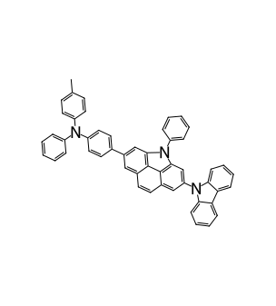 Cc1ccc(N(c2ccccc2)c2ccc(-c3cc4ccc5cc(-n6c7ccccc7c7ccccc76)cc6c5c4c(c3)n6-c3ccccc3)cc2)cc1